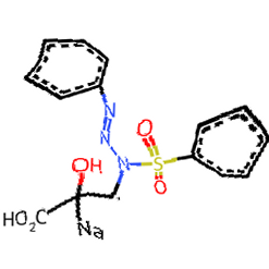 O=C(O)[C](O)([Na])[CH]N(N=Nc1ccccc1)S(=O)(=O)c1ccccc1